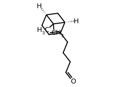 CC1(C)[C@H]2CC=C(CCCC=O)[C@@H]1C2